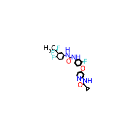 CC(F)(F)C1=CC(NC(=O)Nc2ccc(Oc3ccnc(NC(=O)C4CC4)c3)c(F)c2)=CCC1F